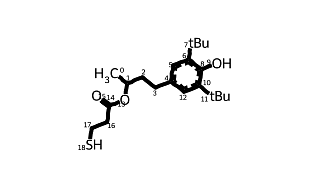 CC(CCc1cc(C(C)(C)C)c(O)c(C(C)(C)C)c1)OC(=O)CCS